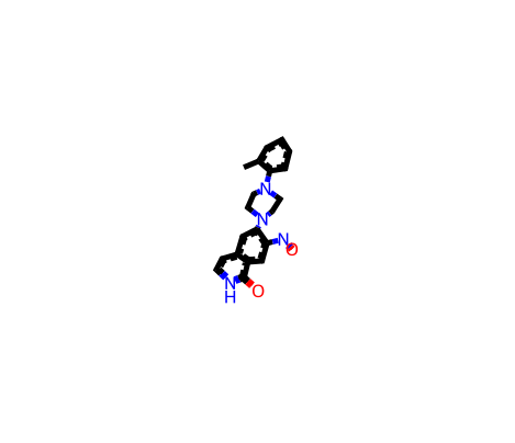 Cc1ccccc1N1CCN(c2cc3cc[nH]c(=O)c3cc2N=O)CC1